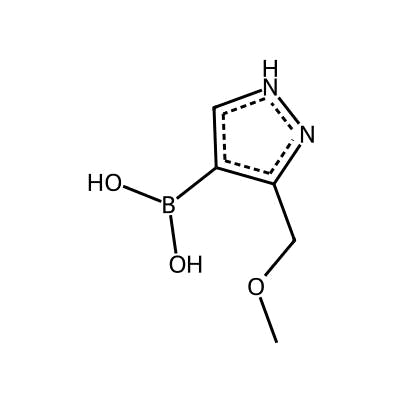 COCc1n[nH]cc1B(O)O